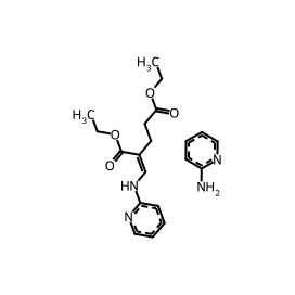 CCOC(=O)CCC(=CNc1ccccn1)C(=O)OCC.Nc1ccccn1